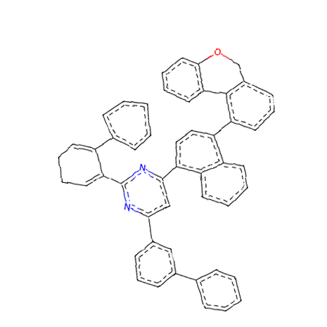 C1=C(c2ccccc2)C(c2nc(-c3cccc(-c4ccccc4)c3)cc(-c3ccc(-c4cccc5c4-c4ccccc4OC5)c4ccccc34)n2)=CCC1